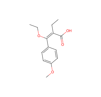 CCOC(=C(CC)C(=O)O)c1ccc(OC)cc1